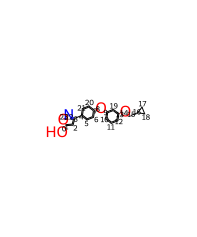 Oc1cc(-c2ccc(Oc3cccc(OCC4CC4)c3)cc2)no1